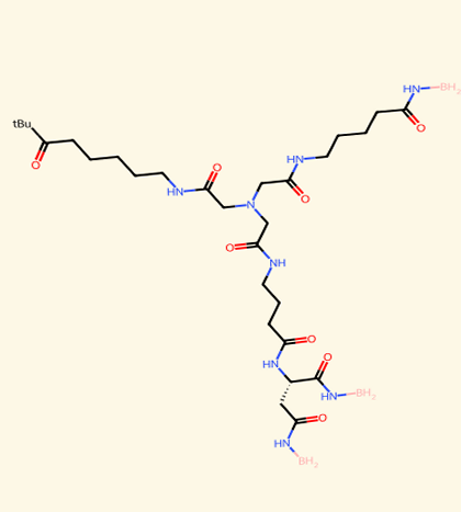 BNC(=O)CCCCNC(=O)CN(CC(=O)NCCCCCC(=O)C(C)(C)C)CC(=O)NCCCC(=O)N[C@@H](CC(=O)NB)C(=O)NB